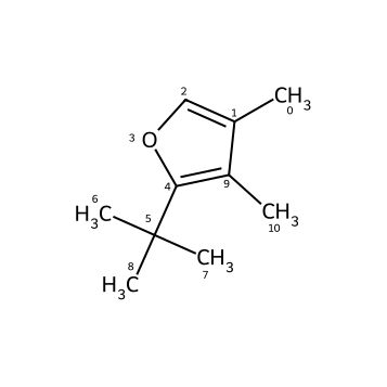 Cc1coc(C(C)(C)C)c1C